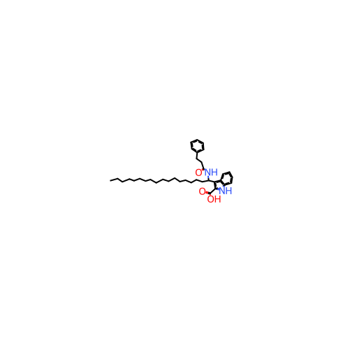 CCCCCCCCCCCCCCCCCC(NC(=O)CCc1ccccc1)c1c(C(=O)O)[nH]c2ccccc12